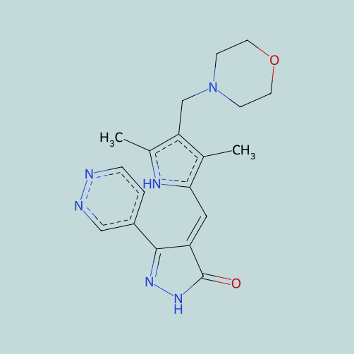 Cc1[nH]c(/C=C2/C(=O)NN=C2c2ccnnc2)c(C)c1CN1CCOCC1